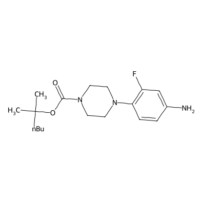 CCCCC(C)(C)OC(=O)N1CCN(c2ccc(N)cc2F)CC1